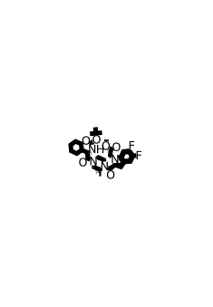 COC(=O)Cn1c(C(=O)N2CCN(C(=O)[C@@H](NC(=O)OC(C)(C)C)C3CCCCC3)C[C@@H]2C)cc2cc(F)c(F)cc21